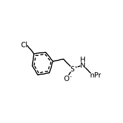 CCCN[S+]([O-])Cc1cccc(Cl)c1